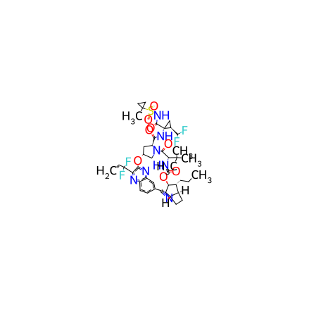 C=CC(F)(F)c1nc2ccc(C#N)cc2nc1O[C@@H]1C[C@@H](C(=O)N[C@]2(C(=O)NS(=O)(=O)C3(C)CC3)C[C@H]2C(F)F)N(C(=O)[C@@H](NC(=O)O[C@@H]2C[C@@H]3CC[C@@H]3[C@H]2CCC)C(C)(C)C)C1